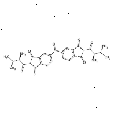 CC(C)[C@@H](N)C(=O)C1C(=O)c2ccc(C(=O)c3ccc4c(c3)C(=O)C(C(=O)[C@H](N)C(C)C)C4=O)cc2C1=O